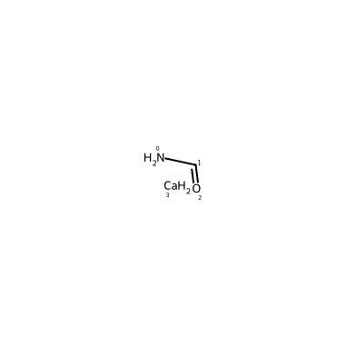 N[C]=O.[CaH2]